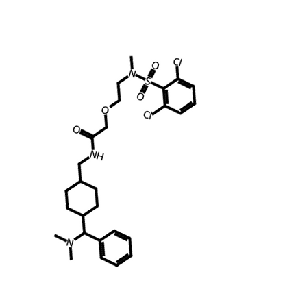 CN(C)C(c1ccccc1)C1CCC(CNC(=O)COCCN(C)S(=O)(=O)c2c(Cl)cccc2Cl)CC1